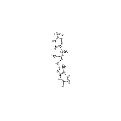 COc1ccc(NC(=O)CSc2nc3cc(I)ncc3[nH]2)cn1